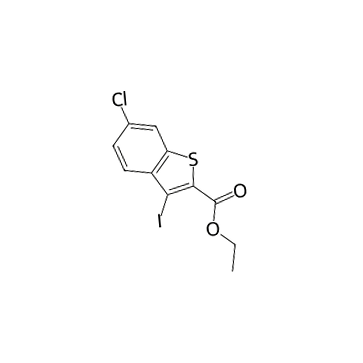 CCOC(=O)c1sc2cc(Cl)ccc2c1I